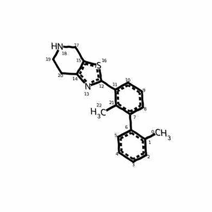 Cc1ccccc1-c1cccc(-c2nc3c(s2)CNCC3)c1C